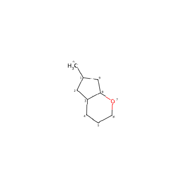 CC1CC2CCCOC2C1